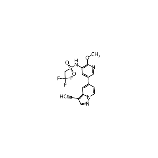 C#Cc1cnn2ccc(-c3cnc(OC)c(NS(=O)(=O)CC(F)(F)F)c3)cc12